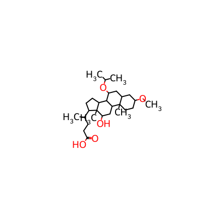 COC1CCC2(C)C(C1)CC(OC(C)C)C1C2CC(O)C2(C)C(C(C)CCC(=O)O)CCC12